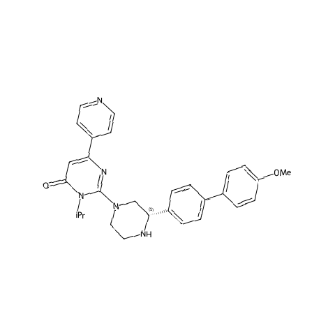 COc1ccc(-c2ccc([C@H]3CN(c4nc(-c5ccncc5)cc(=O)n4C(C)C)CCN3)cc2)cc1